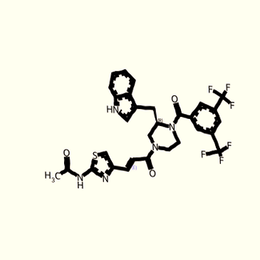 CC(=O)Nc1nc(/C=C/C(=O)N2CCN(C(=O)c3cc(C(F)(F)F)cc(C(F)(F)F)c3)[C@H](Cc3c[nH]c4ccccc34)C2)cs1